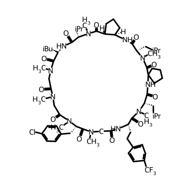 CC[C@H](C)[C@@H]1NC(=O)[C@H](C(C)C)N(C)C(=O)[C@@H]2CCC[C@H]2NC(=O)[C@H](CC(C)C)N(C)C(=O)C2(CCCC2)NC(=O)[C@H](CC(C)C)N(C)C(=O)[C@H](CCc2ccc(C(F)(F)F)cc2)NC(=O)CN(C)C(=O)[C@H](Cc2ccc(Cl)cc2)N(C)C(=O)CN(C)C(=O)CN(C)C1=O